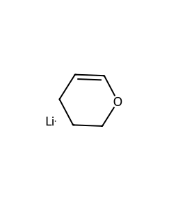 C1=COCCC1.[Li]